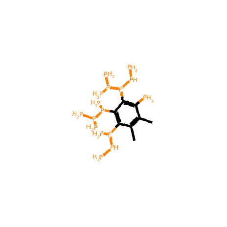 Cc1c(C)c(P(P)PP)c(P(P)P(P)P)c(P(PP)P(P)P)c1P